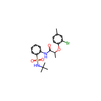 Cc1ccc(OC(C)C(=O)Nc2ccccc2S(=O)(=O)NC(C)(C)C)c(Br)c1